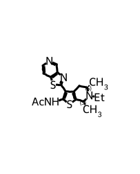 CCN1[C@@H](C)Cc2c(sc(NC(C)=O)c2-c2nc3cnccc3s2)[C@@H]1C